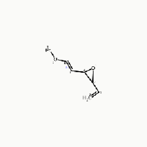 C=CC1OC1/C=C/OC(C)C